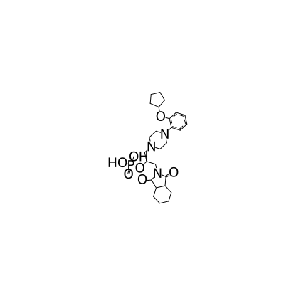 O=C1C2CCCCC2C(=O)N1CC(CN1CCN(c2ccccc2OC2CCCC2)CC1)OP(=O)(O)O